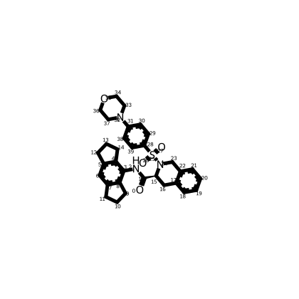 O=C(Nc1c2c(cc3c1CCC3)CCC2)[C@@H]1Cc2ccccc2CN1S(=O)(=O)c1ccc(N2CCOCC2)cc1